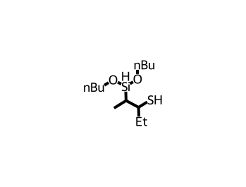 CCCCO[SiH](OCCCC)C(C)C(S)CC